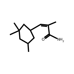 CC(=CC1CC(C)CC(C)(C)C1)C(N)=O